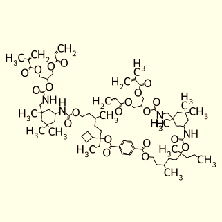 C=CC(=O)OCC(COC(=O)C(=C)C)OC(=O)NCC1(C)CC(NC(=O)OCCC(C)CCC(CC)(OC(=O)c2ccc(C(=O)OCCC(C)CCC(C)(CCC)OC(=O)NC3CC(C)(C)CC(C)(CNC(=O)OC(COC(=O)C=C)COC(=O)C(=C)C)C3)cc2)C2CCC2)CC(C)(C)C1